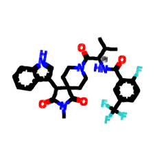 CC(C)[C@@H](NC(=O)c1cc(C(F)(F)F)ccc1F)C(=O)N1CCC2(CC1)C(=O)N(C)C(=O)C2c1c[nH]c2ccccc12